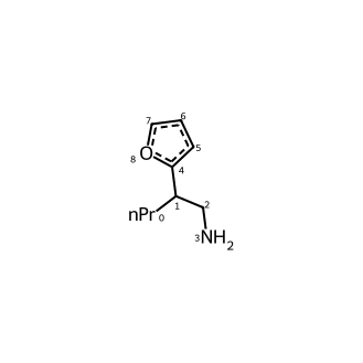 CCCC(CN)c1ccco1